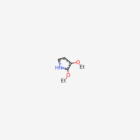 CCOc1cc[nH]c1OCC